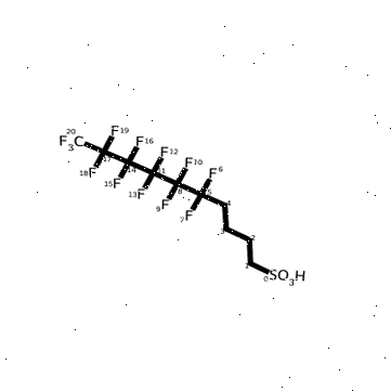 O=S(=O)(O)CCCCC(F)(F)C(F)(F)C(F)(F)C(F)(F)C(F)(F)C(F)(F)F